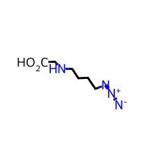 [N-]=[N+]=NCCCCNCC(=O)O